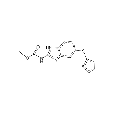 COC(=O)Nc1nc2cc(Sc3cccs3)ccc2[nH]1